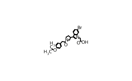 CC(C)Oc1ccc(CC(=O)N2CCC(c3cn(CC(=O)O)c4cc(Br)ccc34)C2)cc1